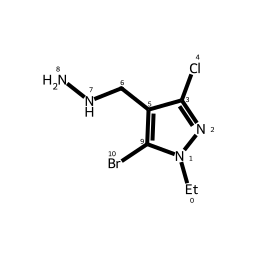 CCn1nc(Cl)c(CNN)c1Br